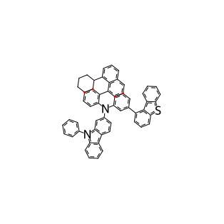 c1ccc(-n2c3ccccc3c3ccc(N(c4cccc(-c5cccc6sc7ccccc7c56)c4)c4ccccc4-c4cccc5cccc(C6CCCCC6)c45)cc32)cc1